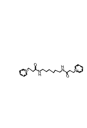 O=C(CC[n+]1ccccc1)NCCCCCCNC(=O)CC[n+]1ccccc1